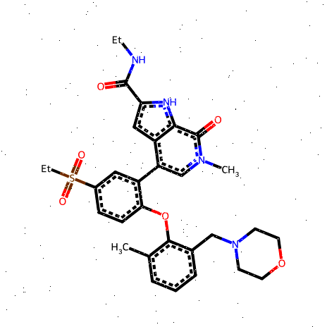 CCNC(=O)c1cc2c(-c3cc(S(=O)(=O)CC)ccc3Oc3c(C)cccc3CN3CCOCC3)cn(C)c(=O)c2[nH]1